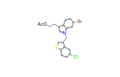 CC(=O)OCCc1cn(Cc2csc3ccc(Cl)cc23)c2cc(Br)ccc12